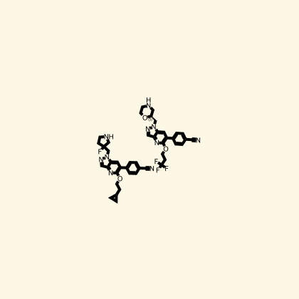 N#Cc1ccc(-c2cc3c(cnn3CC3(F)CCNC3)nc2OCCC2CC2)cc1.N#Cc1ccc(-c2cc3c(cnn3C[C@@H]3CNCCO3)nc2OCCC(F)(F)F)cc1